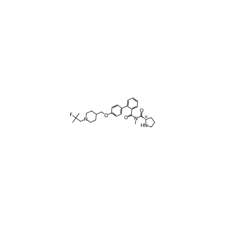 CN(C(=O)c1ccccc1-c1ccc(OCC2CCN(CC(C)(C)F)CC2)cc1)C(=O)[C@H]1CCCN1